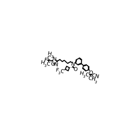 CC(C)(C#N)Oc1ccc(-c2cccc(N(CCCCCc3noc(C(C)(C)F)n3)C(=O)[C@H]3C[C@H](C(F)(F)F)C3)c2)cc1